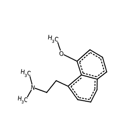 COc1cccc2cccc(CCN(C)C)c12